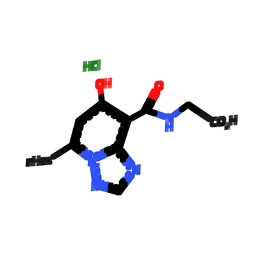 CCCCCCc1cc(O)c(C(=O)NCC(=O)O)c2ncnn12.Cl